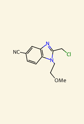 COCCn1c(CCl)nc2cc(C#N)ccc21